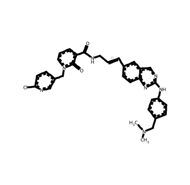 CN(C)Cc1ccc(Nc2ncc3cc(/C=C/CNC(=O)c4cccn(Cc5ccc(Cl)nc5)c4=O)ccc3n2)cc1